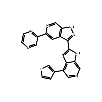 c1cnc(-c2cc3c(-c4nc5c(-c6ccoc6)cncc5[nH]4)n[nH]c3cn2)cn1